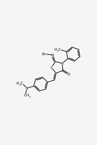 Cc1ccccc1N1C(=O)/C(=C/c2ccc(N(C)C)cc2)S/C1=N\C(C)C